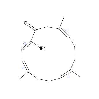 C/C1=C/C=C(\C(C)C)C(=O)C/C(C)=C\CC/C(C)=C\CC1